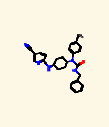 Cc1ccc(N(C(=O)NCc2ccccc2)[C@H]2CC[C@H](Nc3ccc(C#N)cn3)CC2)cc1